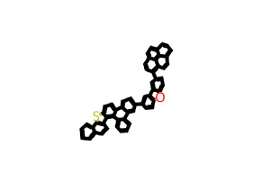 c1ccc2c(c1)ccc1c2sc2ccc3c4ccc(-c5ccc6oc7ccc(-c8ccc9ccc%10cccc%11ccc8c9c%10%11)cc7c6c5)cc4c4ccccc4c3c21